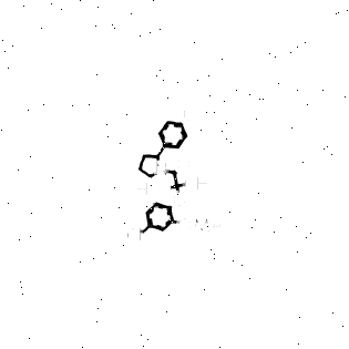 COc1cc(Cl)ccc1OC(C)(C)C(=O)N1CCCC1c1ccc(Cl)cc1